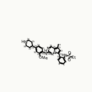 CCS(=O)(=O)Nc1ccccc1-c1cc(C)c2cnc(Nc3ccc(C4CCNCC4)cc3OC)nn12